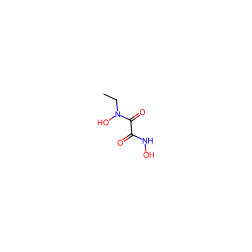 CCN(O)C(=O)C(=O)NO